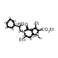 CCOC(=O)c1c(CC)c2c(=O)n(CC(O)c3ccccc3)c(CC)cc2n1C